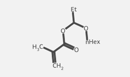 C=C(C)C(=O)OC(CC)OCCCCCC